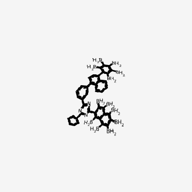 Bc1c(B)c(B)c(-c2ccc(-c3cccc(-c4nc(-c5ccccc5)nc(-c5c(B)c(B)c6c(B)c(B)c(B)c(B)c6c5B)n4)c3)c3ccccc23)c(B)c1B